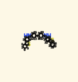 c1ccc2c(c1)sc1cc(Nc3ccc(-c4ccc(Nc5ccc6c(c5)sc5ccccc56)cc4)cc3)ccc12